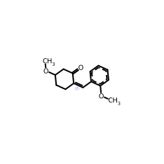 COc1ccccc1/C=C1/CCC(OC)CC1=O